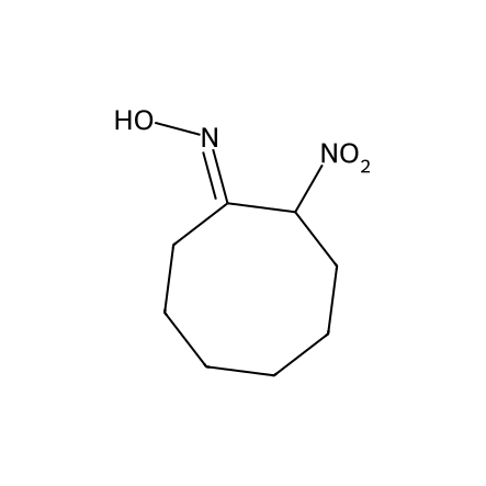 O=[N+]([O-])C1CCCCCCC1=NO